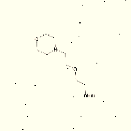 CCCCCCCCOCCN1CCOCC1